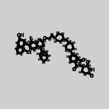 CCc1cccc2cc(O)cc(-c3ncc4c(N5CC6CCC(C5)N6)nc(OCCN5CCC(CC6CCN(c7ccc8c(c7)C(=O)N(C7CCC(=O)NC7=O)C8=O)CC6)CC5)nc4c3F)c12